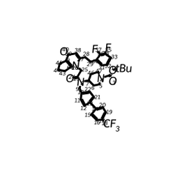 CC(C)(C)OC(=O)N1CCC(N(Cc2ccc(-c3ccc(C(F)(F)F)cc3)cc2)C(=O)Cn2c(CCc3cccc(F)c3F)cc(=O)c3c2CCC3)CC1